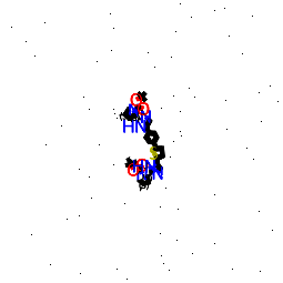 C[C@H]1C[C@@H](c2ncc(-c3ccc(-c4ccc(-c5cnc([C@@H]6C[C@H](C)CN6C(=O)OC(C)(C)C)[nH]5)s4)cc3)[nH]2)N(C(=O)OC(C)(C)C)C1